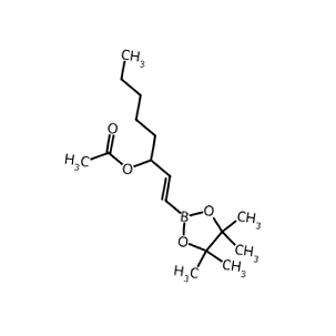 CCCCCC(/C=C/B1OC(C)(C)C(C)(C)O1)OC(C)=O